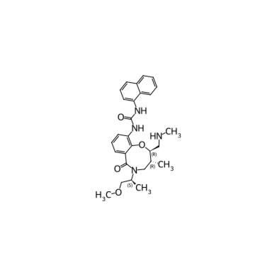 CNC[C@@H]1Oc2c(NC(=O)Nc3cccc4ccccc34)cccc2C(=O)N([C@@H](C)COC)C[C@H]1C